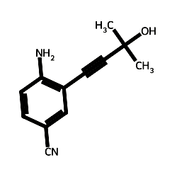 CC(C)(O)C#Cc1cc(C#N)ccc1N